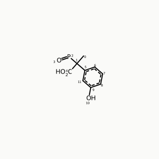 CC(P=O)(C(=O)O)c1cccc(O)c1